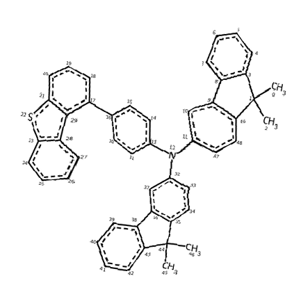 CC1(C)c2ccccc2-c2cc(N(c3ccc(-c4cccc5sc6ccccc6c45)cc3)c3ccc4c(c3)-c3ccccc3C4(C)C)ccc21